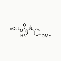 CCCCCCCCOC(=O)[C@H](CS)N(C)c1ccc(OC)cc1